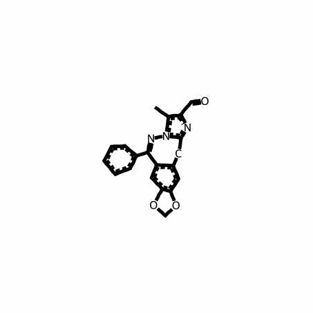 Cc1c(C=O)nc2n1N=C(c1ccccc1)c1cc3c(cc1C2)OCO3